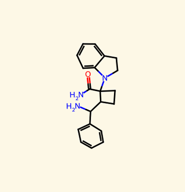 NC(=O)C1(N2CCc3ccccc32)CCC1C(N)c1ccccc1